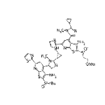 CCCC[S+]([O-])c1sc2nc(-c3nccs3)cc(-c3cnc(C4CC4[SH]4C=CN=C4c4cc(-c5cnc(C6CC6)n5C)c5c(N)c([S+]([O-])CCOC)sc5n4)n3C)c2c1N